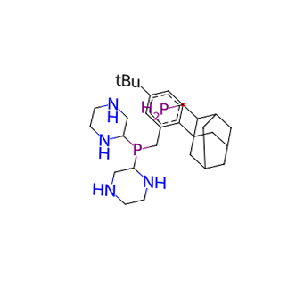 CC(C)(C)c1ccc(C23CC4CC(CC(C4)C2CP)C3)c(CP(C2CNCCN2)C2CNCCN2)c1